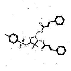 Cc1ccc(S(=O)(=O)OC2O[C@H](COC(=O)C=Cc3ccccc3)[C@@H](OC(=O)C=Cc3ccccc3)C2(F)F)cc1